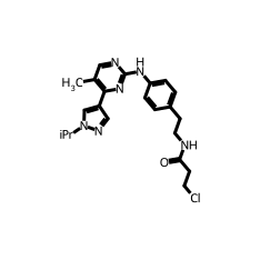 Cc1cnc(Nc2ccc(CCNC(=O)CCCl)cc2)nc1-c1cnn(C(C)C)c1